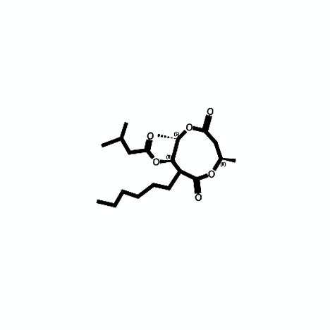 CCCCCCC1C(=O)O[C@H](C)CC(=O)O[C@@H](C)[C@@H]1OC(=O)CC(C)C